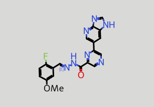 COc1ccc(F)c(/C=N/NC(=O)c2cncc(-c3cnc4nc[nH]c4c3)n2)c1